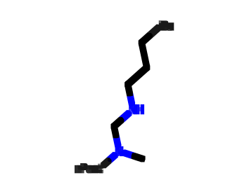 CCCCCN(C)CNCCCC(C)CC